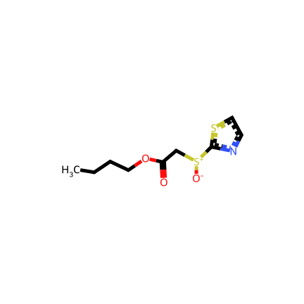 CCCCOC(=O)C[S+]([O-])c1nccs1